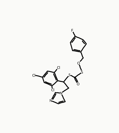 O=C(SOCc1ccc(F)cc1)SC(Cn1ccnc1)c1c(Cl)cc(Cl)cc1Cl